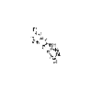 O=C(Cc1cc(F)ccn1)Nc1ccc(I)nn1